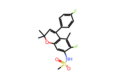 Cc1c(F)c(NS(C)(=O)=O)cc2c1C(c1ccc(F)cc1)=CC(C)(C)O2